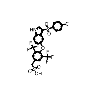 O=S(=O)(O)Cc1cc(C(F)(F)F)c(Oc2ccc3[nH]cc(S(=O)(=O)c4ccc(Cl)cc4)c3c2)c(C(F)(F)F)c1